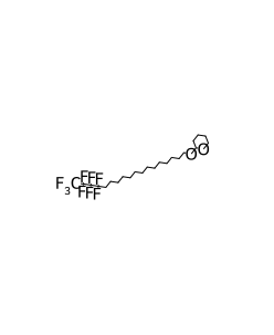 FC(F)(F)C(F)(F)C(F)(F)C(F)(F)CCCCCCCCCCCCCCOC1CCCCO1